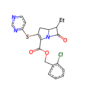 CCC1C(=O)N2C(C(=O)OCc3ccccc3Cl)=C(Sc3ccncn3)CC12